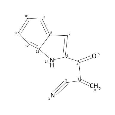 C=C(C#N)C(=O)c1cc2ccccc2[nH]1